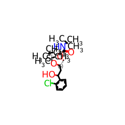 CC(C)(C)NC(=O)OC[C@H](CC(O)c1ccccc1Cl)O[Si](C)(C)C(C)(C)C